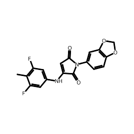 Cc1c(F)cc(NC2=CC(=O)N(c3ccc4c(c3)OCO4)C2=O)cc1F